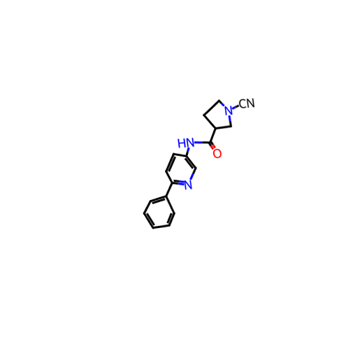 N#CN1CCC(C(=O)Nc2ccc(-c3ccccc3)nc2)C1